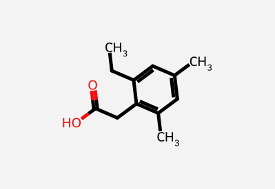 CCc1cc(C)cc(C)c1CC(=O)O